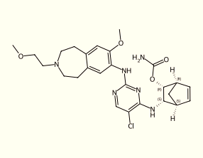 COCCN1CCc2cc(Nc3ncc(Cl)c(N[C@@H]4[C@H](OC(N)=O)[C@H]5C=C[C@@H]4C5)n3)c(OC)cc2CC1